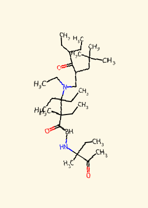 CCC(CC)C(=O)C(CN(CC)C(CC)(CC)C(C)(CC)C(=O)BNC(C)(CC)C(C)=O)CC(C)(C)C